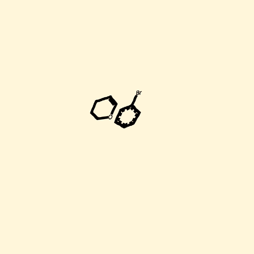 Brc1ccccc1.C1=COCCC1